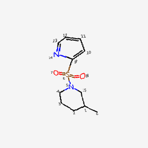 CC1CCCN(S(=O)(=O)c2ccccn2)C1